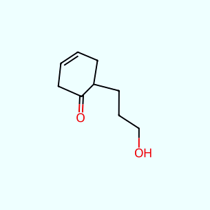 O=C1CC=CCC1CCCO